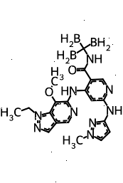 BC(B)(B)NC(=O)c1cnc(Nc2ccn(C)n2)cc1Nc1ncc2cnn(CC)c2c1OC